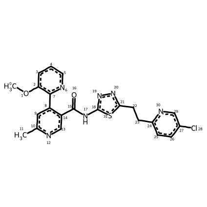 COc1cccnc1-c1cc(C)ncc1C(=O)Nc1nnc(CCc2ccc(Cl)cn2)s1